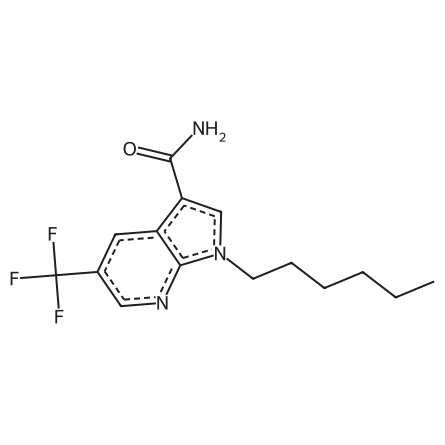 CCCCCCn1cc(C(N)=O)c2cc(C(F)(F)F)cnc21